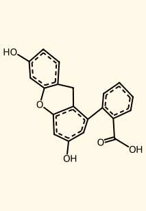 O=C(O)c1ccccc1-c1cc(O)cc2c1Cc1ccc(O)cc1O2